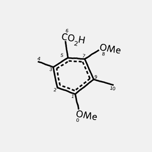 COc1cc(C)c(C(=O)O)c(OC)c1C